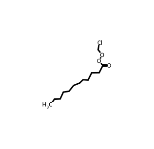 CCCCCCCCCCCC(=O)OOCCl